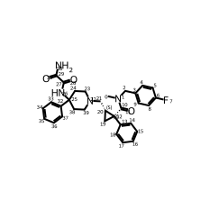 CN(Cc1ccc(F)cc1)C(=O)[C@]1(c2ccccc2)C[C@@H]1CN1CCC(NC(=O)C(N)=O)(c2ccccc2)CC1